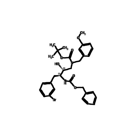 COc1cccc(CN(C[C@@H](O)[C@H](Cc2cccc(Br)c2)NC(=O)OCc2ccccc2)C(=O)OC(C)(C)C)c1